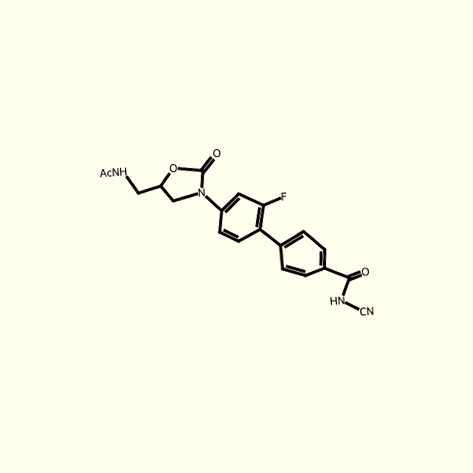 CC(=O)NCC1CN(c2ccc(-c3ccc(C(=O)NC#N)cc3)c(F)c2)C(=O)O1